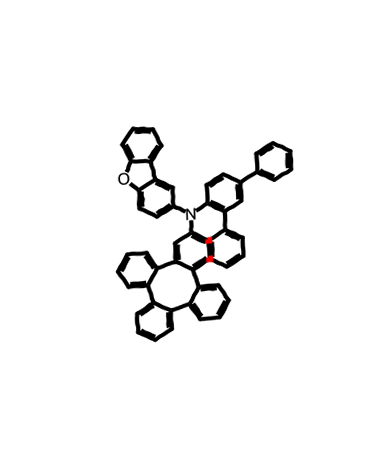 c1ccc(-c2ccc(N(c3ccc4c(c3)-c3ccccc3-c3ccccc3-c3ccccc3-4)c3ccc4oc5ccccc5c4c3)c(-c3ccccc3)c2)cc1